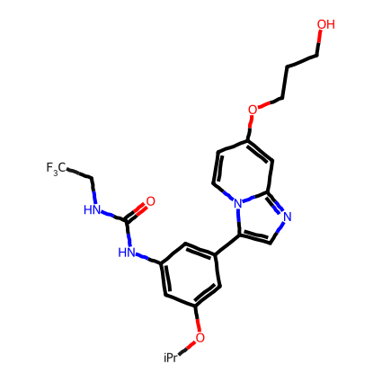 CC(C)Oc1cc(NC(=O)NCC(F)(F)F)cc(-c2cnc3cc(OCCCO)ccn23)c1